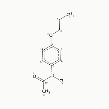 CCCOc1ccc(C(Cl)C(C)=O)cc1